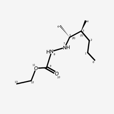 CCC[C@H](C)[C@@H](C)NNC(=O)OCC